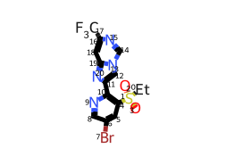 CCS(=O)(=O)c1cc(Br)cnc1-c1cn2cnc(C(F)(F)F)cc2n1